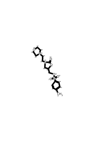 Cc1ccc(S(=O)(=O)OCC2CN(CCN3CCOCC3)C(=O)O2)cc1